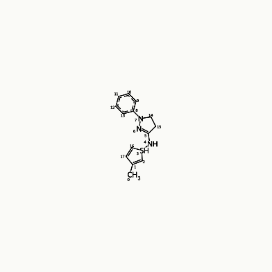 CC1=C[SH](NC2=NN(c3ccccc3)CC2)C=C1